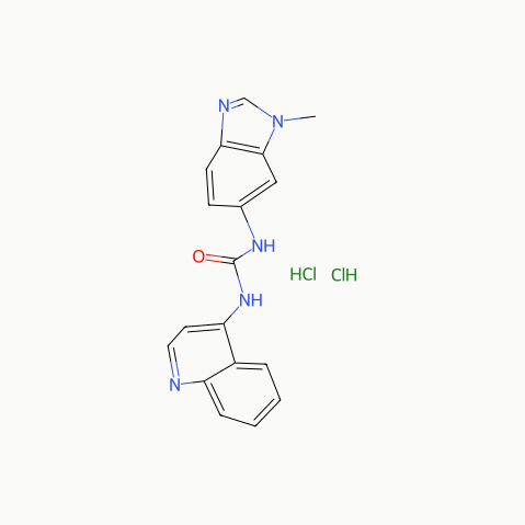 Cl.Cl.Cn1cnc2ccc(NC(=O)Nc3ccnc4ccccc34)cc21